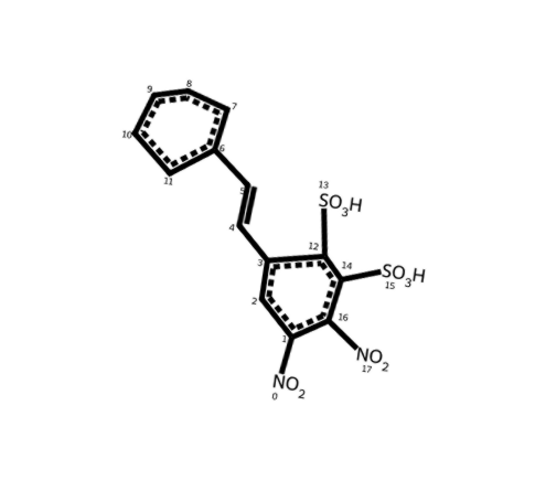 O=[N+]([O-])c1cc(C=Cc2ccccc2)c(S(=O)(=O)O)c(S(=O)(=O)O)c1[N+](=O)[O-]